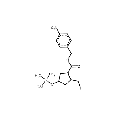 CC(C)(C)[Si](C)(C)OC1CC(CI)N(C(=O)OCc2ccc([N+](=O)[O-])cc2)C1